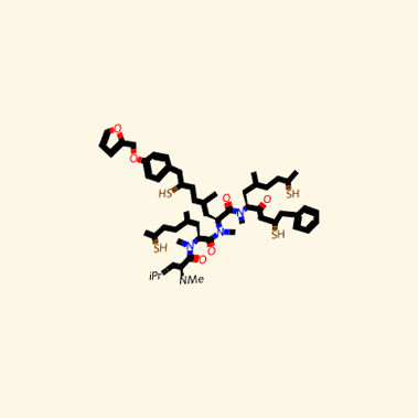 CN[C@@H](CC(C)C)C(=O)N(C)[C@@H](CC(C)CCC(C)S)C(=O)N(C)[C@@H](CC(C)CCC(S)Cc1ccc(OCc2ccco2)cc1)C(=O)N(C)[C@@H](CC(C)CCC(C)S)C(=O)[CH]C(S)Cc1ccccc1